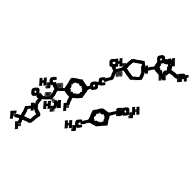 CC(C)c1noc(N2CCC([C@H](C)CCOc3ccc([C@H](C)[C@H](N)C(=O)N4CCC(F)(F)C4)c(F)c3)CC2)n1.Cc1ccc(S(=O)(=O)O)cc1